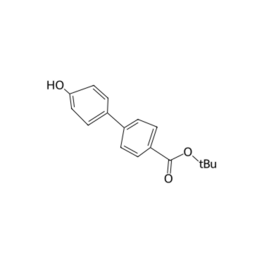 CC(C)(C)OC(=O)c1ccc(-c2ccc(O)cc2)cc1